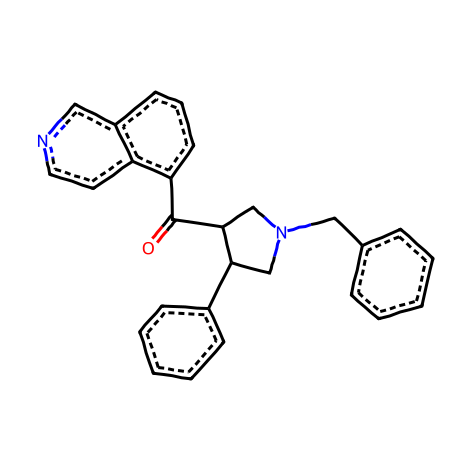 O=C(c1cccc2cnccc12)C1CN(Cc2ccccc2)CC1c1ccccc1